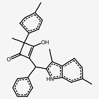 Cc1ccc(C2(C)C(=O)C(C(c3ccccc3)c3[nH]c4cc(C)ccc4c3C)=C2O)cc1